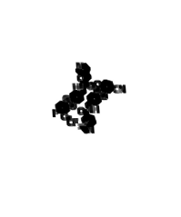 COc1ccc(C#N)cc1S(=O)(=O)c1ccc(CNC(=O)c2ccc3nccn3c2)cc1.O=C(NCc1ccc(S(=O)(=O)c2ccc(F)c(OCC(F)(F)F)c2)cc1)c1cc2ccncc2o1